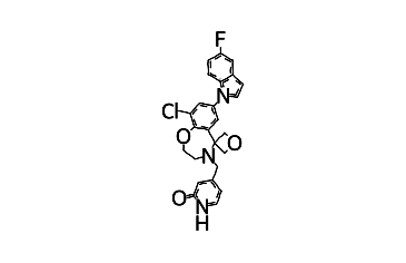 O=c1cc(CN2CCOc3c(Cl)cc(-n4ccc5cc(F)ccc54)cc3C23COC3)cc[nH]1